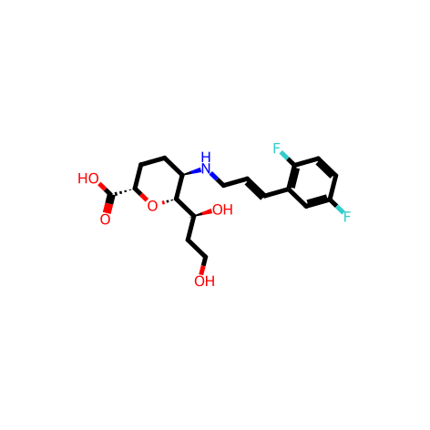 O=C(O)[C@@H]1CC[C@@H](NC/C=C/c2cc(F)ccc2F)[C@H]([C@@H](O)CCO)O1